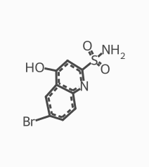 NS(=O)(=O)c1cc(O)c2cc(Br)ccc2n1